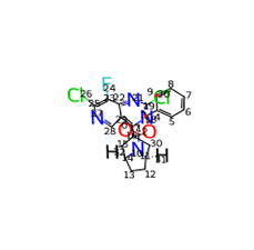 O=C(OCc1ccccc1)N1[C@@H]2CC[C@H]1CC(c1nc(Cl)nc3c(F)c(Cl)ncc13)C2